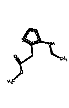 CCNc1ccsc1CC(=O)OC